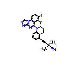 CC(C)(C#N)C#Cc1cccc2c1CCCN2c1nc2nncn2c2ccc(F)c(F)c12